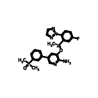 C[C@@H](Oc1cc(-c2cccc(P(C)(C)=O)c2)cnc1N)c1cc(F)ccc1-n1nccn1